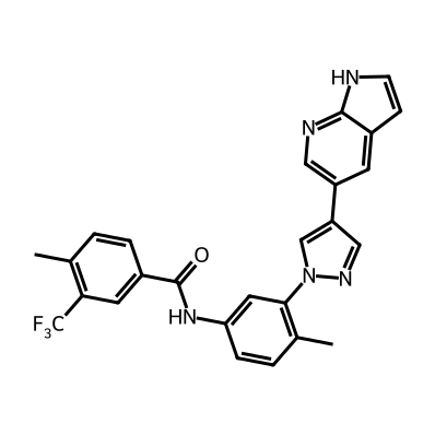 Cc1ccc(NC(=O)c2ccc(C)c(C(F)(F)F)c2)cc1-n1cc(-c2cnc3[nH]ccc3c2)cn1